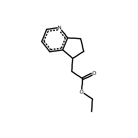 CCOC(=O)CC1CCc2ncccc21